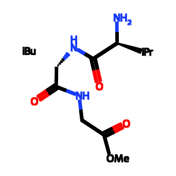 CC[C@H](C)[C@H](NC(=O)[C@@H](N)C(C)C)C(=O)NCC(=O)OC